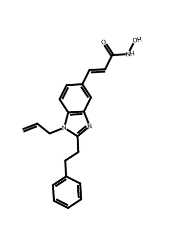 C=CCn1c(CCc2ccccc2)nc2cc(C=CC(=O)NO)ccc21